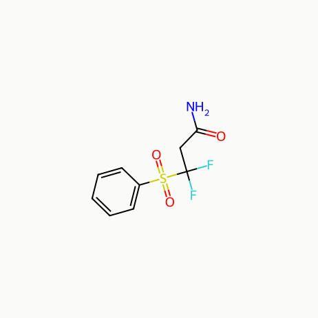 NC(=O)CC(F)(F)S(=O)(=O)c1ccccc1